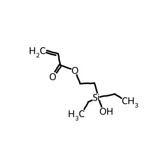 C=CC(=O)OCC[Si](O)(CC)CC